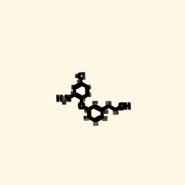 Nc1cc(Cl)ccc1Oc1cccc(CCO)c1